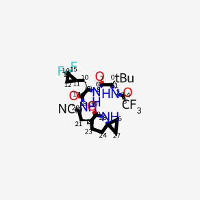 CC(C)(C)[C@H](NC(=O)C(F)(F)F)C(=O)N[C@@H](CC1CC1(F)F)C(=O)N[C@H](C#N)C[C@@H]1CCC2(CC2)NC1=O